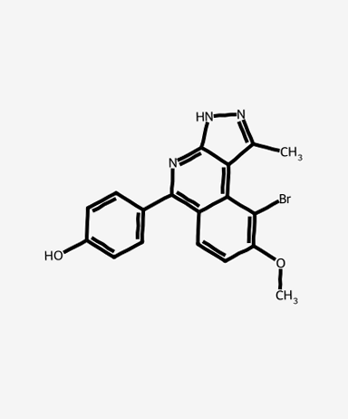 COc1ccc2c(-c3ccc(O)cc3)nc3[nH]nc(C)c3c2c1Br